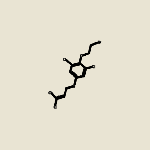 ClC(Cl)=CCOc1cc(Cl)c(OCCBr)c(Cl)c1